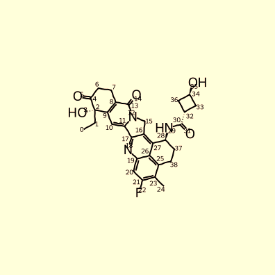 CC[C@@]1(O)C(=O)CCc2c1cc1n(c2=O)Cc2c-1nc1cc(F)c(C)c3c1c2[C@@H](NC(=O)[C@H]1C[C@H](O)C1)CC3